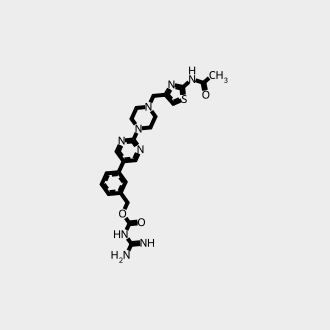 CC(=O)Nc1nc(CN2CCN(c3ncc(-c4cccc(COC(=O)NC(=N)N)c4)cn3)CC2)cs1